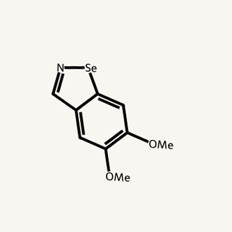 COc1cc2cn[se]c2cc1OC